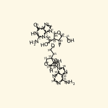 Nc1nc2c(ncn2[C@@H]2O[C@H](CO)[C@H](F)[C@H]2P(O)(=S)OCCC23CO[C@@H]([C@H](n4cnc5c(N)ncnc54)O2)[C@@H]3O)c(=O)[nH]1